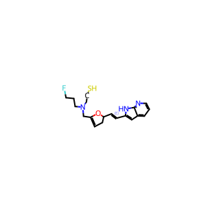 FCCCN(CCS)CC1=CCC(/C=C/c2cc3cccnc3[nH]2)O1